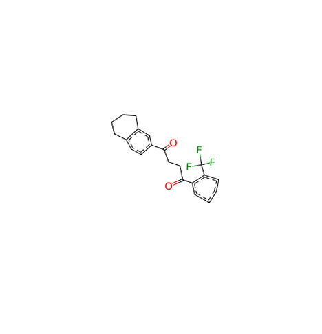 O=C(CCC(=O)c1ccccc1C(F)(F)F)c1ccc2c(c1)CCCC2